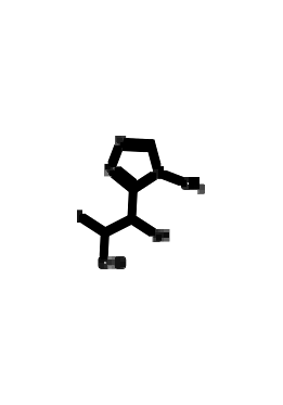 Cn1cnnc1C(S)C(I)C=O